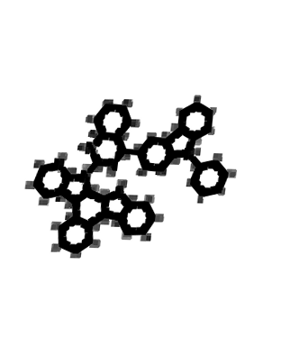 c1ccc(-n2c3ccccc3c3cc(-c4nc(-n5c6ncccc6c6c7ccccc7c7c8ccccc8sc7c65)nc5ccccc45)ccc32)cc1